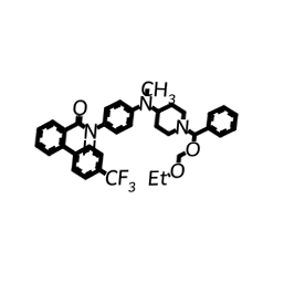 CCOCOC(c1ccccc1)N1CCC(N(C)c2ccc(NC(=O)c3ccccc3-c3ccc(C(F)(F)F)cc3)cc2)CC1